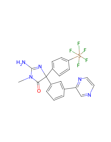 CN1C(=O)C(c2ccc(S(F)(F)(F)(F)F)cc2)(c2cccc(-c3cnccn3)c2)N=C1N